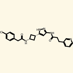 O=C(CCc1cccnc1)Nc1cc([C@H]2C[C@@H](NC(=O)Cc3ccc(Cl)cc3)C2)[nH]n1